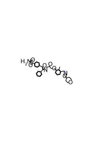 Cc1c(/C=N\OC2CCOCC2)cccc1OCC(=O)c1nc(-c2ccccc2)c(-c2ccc(S(N)(=O)=O)cc2)o1